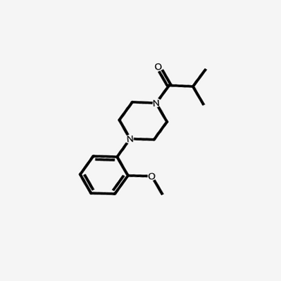 COc1ccccc1N1CCN(C(=O)C(C)C)CC1